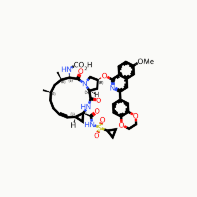 COc1ccc2c(O[C@@H]3C[C@H]4C(=O)N[C@]5(C(=O)NS(=O)(=O)C6CC6)C[C@H]5C=CCC[C@@H](C)C[C@@H](C)[C@H](NC(=O)O)C(=O)N4C3)nc(-c3ccc4c(c3)OCCO4)cc2c1